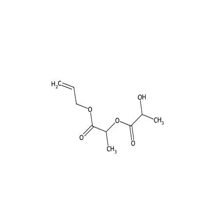 C=CCOC(=O)C(C)OC(=O)C(C)O